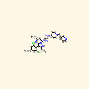 COc1cc(Cl)c(-c2c(C)nn3c(NCCNC4CCN(Cc5cccnc5)CC4)cc(C)nc23)c(Cl)c1